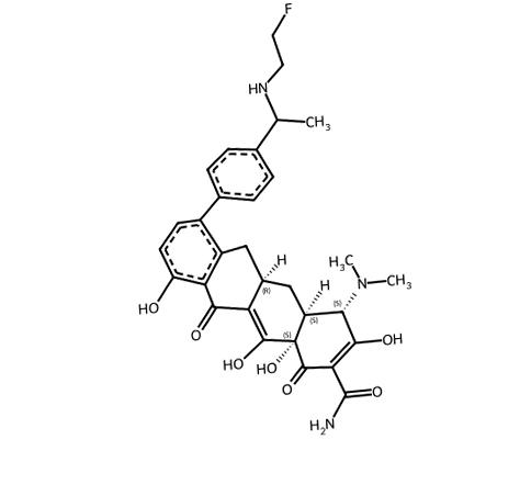 CC(NCCF)c1ccc(-c2ccc(O)c3c2C[C@H]2C[C@H]4[C@H](N(C)C)C(O)=C(C(N)=O)C(=O)[C@@]4(O)C(O)=C2C3=O)cc1